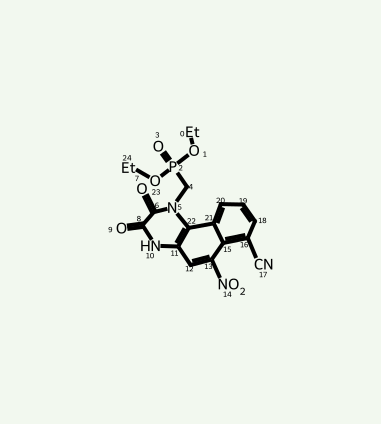 CCOP(=O)(Cn1c(=O)c(=O)[nH]c2cc([N+](=O)[O-])c3c(C#N)cccc3c21)OCC